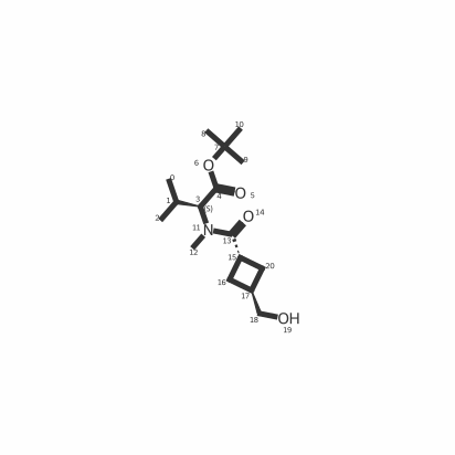 CC(C)[C@@H](C(=O)OC(C)(C)C)N(C)C(=O)[C@H]1C[C@H](CO)C1